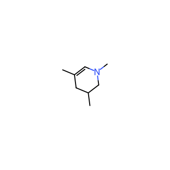 CC1=CN(C)CC(C)C1